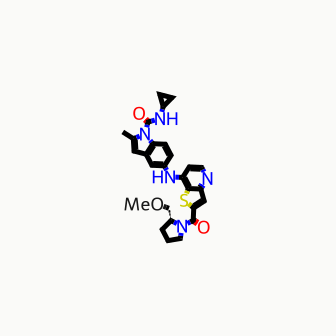 COC[C@H]1CCCN1C(=O)c1cc2nccc(Nc3ccc4c(c3)cc(C)n4C(=O)NC3CC3)c2s1